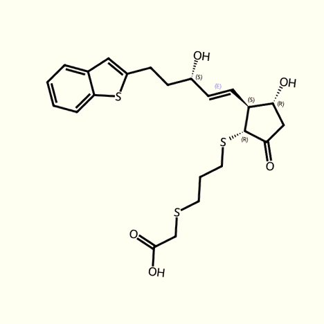 O=C(O)CSCCCS[C@H]1C(=O)C[C@@H](O)[C@@H]1/C=C/[C@@H](O)CCc1cc2ccccc2s1